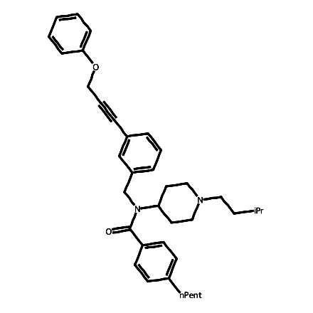 CCCCCc1ccc(C(=O)N(Cc2cccc(C#CCOc3ccccc3)c2)C2CCN(CCC(C)C)CC2)cc1